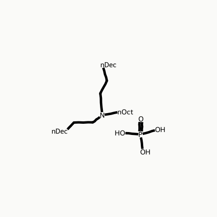 CCCCCCCCCCCCN(CCCCCCCC)CCCCCCCCCCCC.O=P(O)(O)O